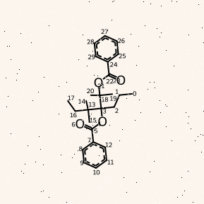 CCCC(OC(=O)c1ccccc1)(C(C)(C)CC)C(C)(C)OC(=O)c1ccccc1